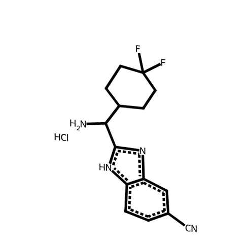 Cl.N#Cc1ccc2[nH]c(C(N)C3CCC(F)(F)CC3)nc2c1